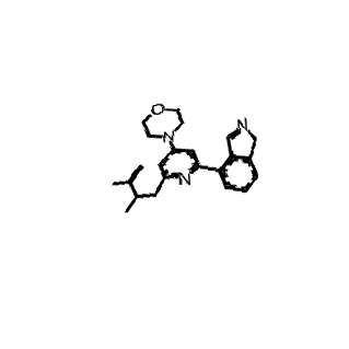 C=C(C)C(C)Cc1cc(N2CCOCC2)cc(-c2cccc3c2C=NC3)n1